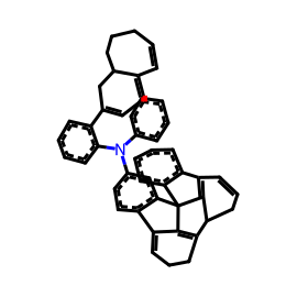 C1=CC2=CC=C(c3ccccc3N(c3ccccc3)c3ccc4c(c3)C35C6=C(CCC=C64)C4CC=CC(=C43)c3ccccc35)CC2CCC1